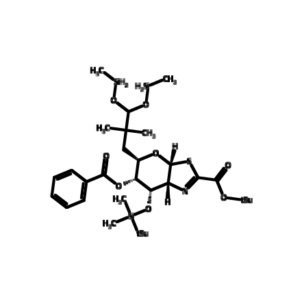 C[SiH2]OC(O[SiH2]C)C(C)(C)C[C@H]1O[C@@H]2SC(C(=O)OC(C)(C)C)=N[C@@H]2[C@H](O[Si](C)(C)C(C)(C)C)[C@@H]1OC(=O)c1ccccc1